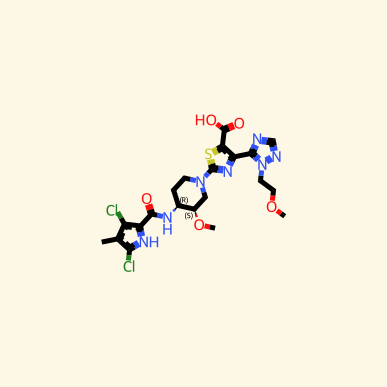 COCCn1ncnc1-c1nc(N2CC[C@@H](NC(=O)c3[nH]c(Cl)c(C)c3Cl)[C@@H](OC)C2)sc1C(=O)O